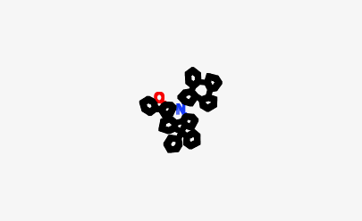 c1ccc(C2(c3ccccc3)c3ccccc3-c3c(N(c4ccc5c(c4)-c4ccccc4-c4ccccc4-c4ccccc4-5)c4ccc5c(c4)oc4ccccc45)cccc32)cc1